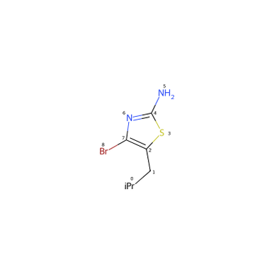 CC(C)Cc1sc(N)nc1Br